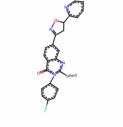 CCCCCc1nc2cc(C3=NOC(c4ccccn4)C3)ccc2c(=O)n1-c1ccc(F)cc1